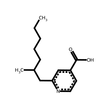 CCCCCC(C)Cc1cc(C(=O)O)ccn1